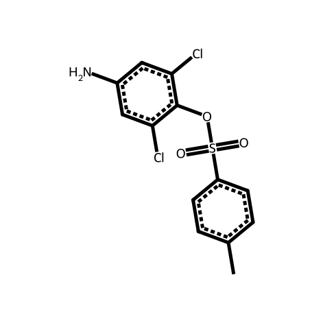 Cc1ccc(S(=O)(=O)Oc2c(Cl)cc(N)cc2Cl)cc1